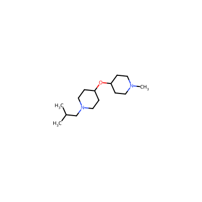 CC(C)CN1CCC(OC2CCN(C)CC2)CC1